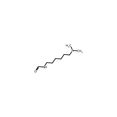 CN(C)CCCCCCNC=O